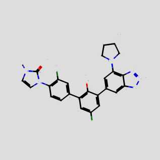 Cn1ccn(-c2ccc(-c3cc(F)cc(-c4cc(N5CC[C@H](N)C5)c5nn[nH]c5c4)c3O)cc2Cl)c1=O